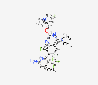 Cc1cc(N)nc(-c2c(Cl)cc3c(N(C)C)nc(OC[C@@]45CCCN4C[C@H](F)C5)nc3c2F)c1C(F)(F)F